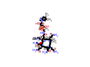 C/C1=C2/[N-][C@H]([C@H](CC(N)=O)[C@@]2(C)CCC(=O)NC[C@H](C)OP(=O)([O-])O[C@H]2[C@@H](O)[C@@H](n3cnc4cc(C)c(C)cc43)O[C@@H]2CO)[C@]2(C)N=C(/C(C)=C3N=C(/C=C4N=C1[C@@H](CCC(N)=O)C\4(C)C)[C@@H](CCC(N)=O)[C@]\3(C)CC(N)=O)[C@@H](CCC(N)=O)[C@]2(C)CC(N)=O.[CH3-].[Co+3]